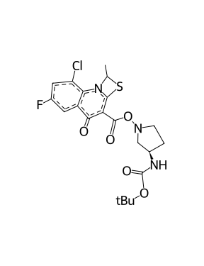 CC1Sc2c(C(=O)ON3CC[C@@H](NC(=O)OC(C)(C)C)C3)c(=O)c3cc(F)cc(Cl)c3n21